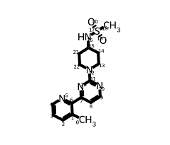 Cc1cccnc1-c1ccnc(N2CCC(NS(C)(=O)=O)CC2)n1